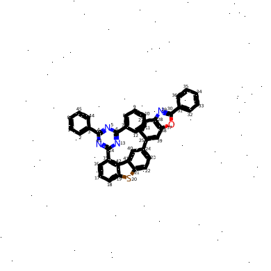 c1ccc(-c2nc(-c3ccccc3)nc(-c3cccc4sc5ccc(-c6ccc7nc(-c8ccccc8)oc7c6)cc5c34)n2)cc1